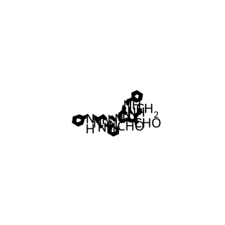 C=CCC(C=O)/C=C/CN(CCN(C/C(=C/NCc1ccccc1)N=N)Cc1cccc(C=O)n1)C/C(=C/NCc1ccccc1)N=N